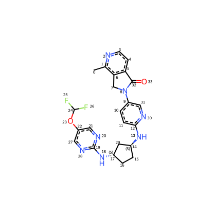 Cc1nccc2c1CN(c1ccc(N[C@H]3CC[C@H](Nc4ncc(OC(F)F)cn4)C3)nc1)C2=O